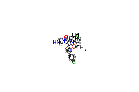 CCc1ccc(Cl)c(CC)c1-n1c(C)c(C(=O)N2CCNCC2)cc(-c2nc(-c3ccc(Cl)cc3)cs2)c1=O